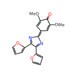 COC1=CC(=C2N=C(c3ccco3)C(c3ccco3)=N2)C=C(OC)C1=O